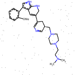 COc1ccccc1-c1c[nH]c2c1C=C(C1=CN=CC(CN3CCN(CCN(C)C)CC3)C1)CN2